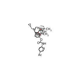 CC(=O)c1ccc(NC(=O)Oc2ccc3c4c2O[C@H]2[C@]5(C)CC[C@@]6(C[C@@H]5C(C)(O)C(C)(C)C)C(C3)N(CC3CC3)CC[C@]426)nc1